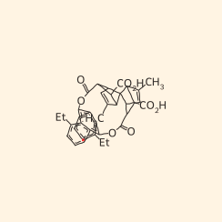 CCc1cccc2c3c4c(CC)cccc4c(c12)OC(=O)C1C(C(=O)O)C2C(C)=CC1C21C2C=C(C)C1C(C(=O)O)C2C(=O)O3